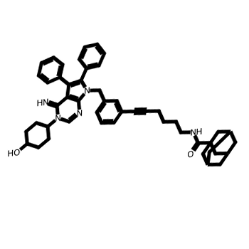 N=c1c2c(-c3ccccc3)c(-c3ccccc3)n(Cc3cccc(C#CCCCCNC(=O)C45CC6CC(CC(C6)C4)C5)c3)c2ncn1C1CCC(O)CC1